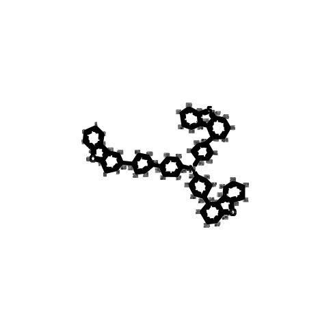 c1ccc2c(c1)oc1ccc(-c3ccc(-c4ccc(N(c5ccc(-c6cccc7oc8ccccc8c67)cc5)c5ccc(-c6cccc7sc8ccccc8c67)cc5)cc4)cc3)cc12